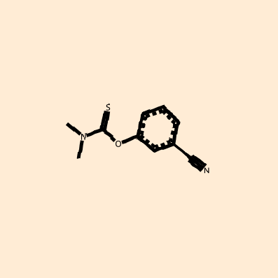 CN(C)C(=S)Oc1cccc(C#N)c1